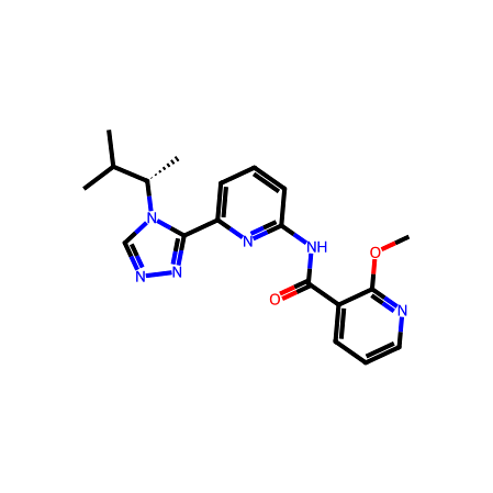 COc1ncccc1C(=O)Nc1cccc(-c2nncn2[C@@H](C)C(C)C)n1